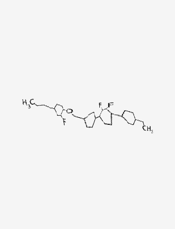 CCCCC1CCC(OCC2CCC(C3CCC(C4CCC(CC)CC4)[C@@H](F)C3F)CC2)C(F)C1